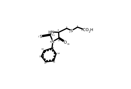 O=C(O)CSCC1NC(=S)N(c2ccccc2)C1=O